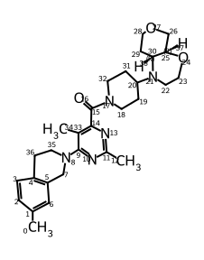 Cc1ccc2c(c1)CN(c1nc(C)nc(C(=O)N3CCC(N4CCO[C@H]5COCC[C@H]54)CC3)c1C)CC2